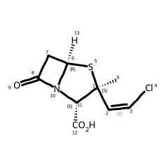 C[C@@]1(/C=C\Cl)S[C@@H]2CC(=O)N2[C@H]1C(=O)O